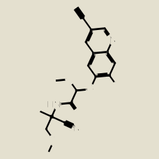 C#Cc1cnc2cc(F)c(OC(SC)C(=O)NC(C)(C#N)CSC)cc2c1